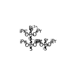 CC(C)OP(=S)([S-])OC(C)C.CC(C)OP(=S)([S-])OC(C)C.CC(C)OP(=S)([S-])OC(C)C.[Bi+3]